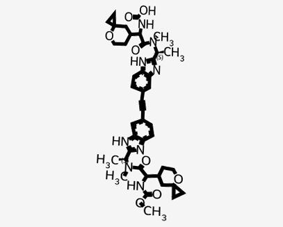 COC(=O)NC(C(=O)N(C)[C@@H](C)c1nc2ccc(C#Cc3ccc4[nH]c([C@H](C)N(C)C(=O)C(NC(=O)O)C5CCOC6(CC6)C5)nc4c3)cc2[nH]1)C1CCOC2(CC2)C1